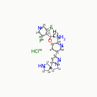 CC(Oc1cc(-c2cc3n(n2)CC[C@@]32CCNC2)cnc1N)c1c(F)cncc1F.Cl